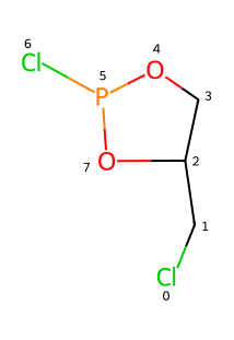 ClCC1COP(Cl)O1